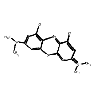 CN(C)c1cc(Cl)c2nc3c(Cl)cc(=[N+](C)C)cc-3sc2c1